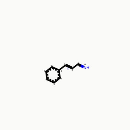 N=C/C=C/c1ccccc1